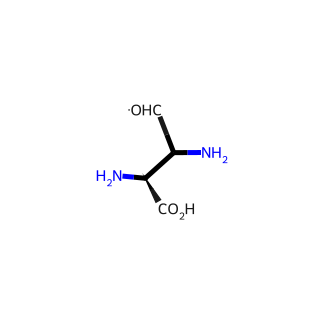 NC([C]=O)[C@H](N)C(=O)O